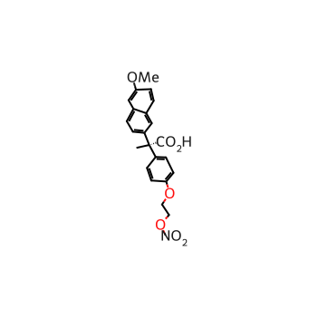 COc1ccc2cc([C@@](C)(C(=O)O)c3ccc(OCCO[N+](=O)[O-])cc3)ccc2c1